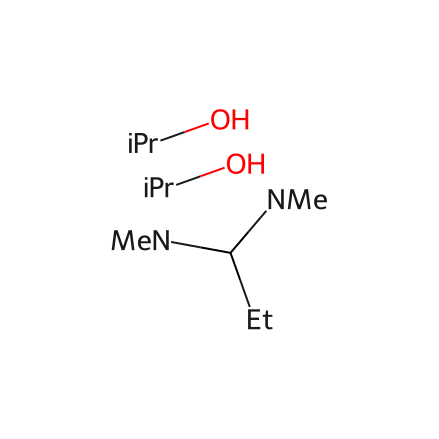 CC(C)O.CC(C)O.CCC(NC)NC